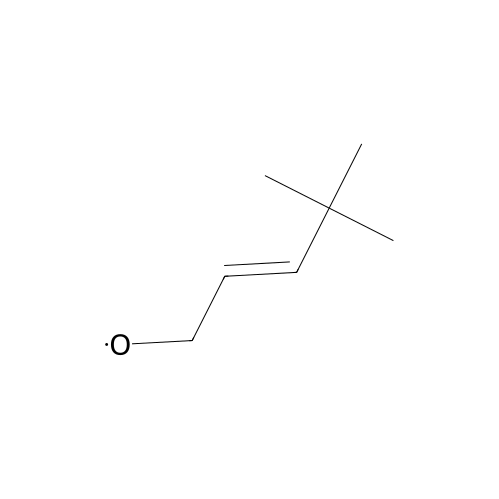 CC(C)(C)/C=C/C[O]